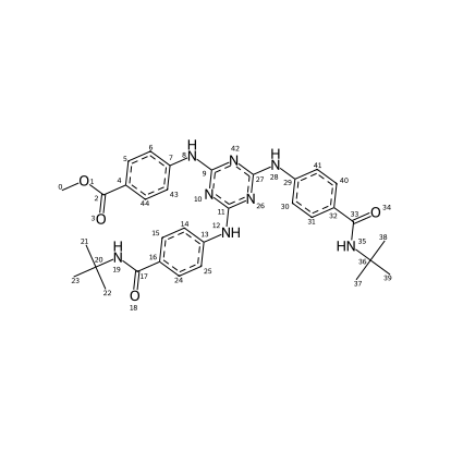 COC(=O)c1ccc(Nc2nc(Nc3ccc(C(=O)NC(C)(C)C)cc3)nc(Nc3ccc(C(=O)NC(C)(C)C)cc3)n2)cc1